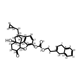 O=C(OCCC1=CCc2ccccc2C1)Oc1ccc2c3c1OC1C(=O)CCC4(O)C(C2)N(CC2CC2)CCC314